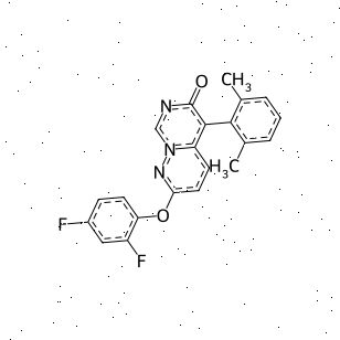 Cc1cccc(C)c1-c1c(=O)ncn2nc(Oc3ccc(F)cc3F)ccc12